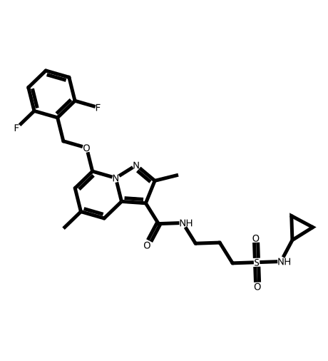 Cc1cc(OCc2c(F)cccc2F)n2nc(C)c(C(=O)NCCCS(=O)(=O)NC3CC3)c2c1